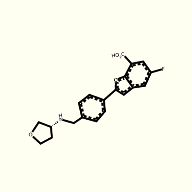 O=C(O)c1cc(F)cc2cc(-c3ccc(CN[C@@H]4CCOC4)cc3)oc12